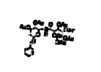 CC(=O)OC[C@@H](OC(C)=O)[C@@H](OC(C)=O)[C@H](OC(C)=O)[C@@H](OC(C)=O)C(=O)NC[C@H]1O[C@H](OCc2ccccc2)[CH][C@@H](OC(C)=O)[C@@H]1OC(C)=O